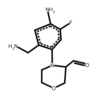 NCc1cc(N)c(F)cc1N1CCOCC1C=O